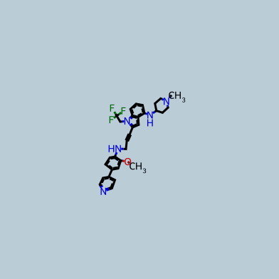 COc1cc(-c2ccncc2)ccc1NCC#Cc1cc2c(NC3CCN(C)CC3)cccc2n1CC(F)(F)F